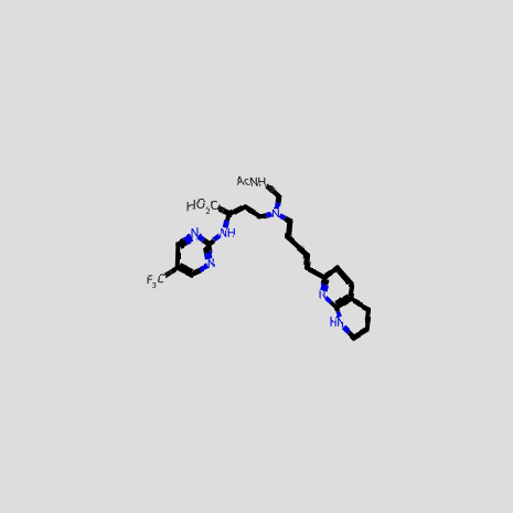 CC(=O)NCN(CCCCc1ccc2c(n1)NCCC2)CCC(Nc1ncc(C(F)(F)F)cn1)C(=O)O